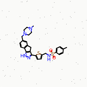 Cc1ccc(S(=O)(=O)NCc2ccc(-c3n[nH]c4c3Cc3cc(CN5CCN(C)CC5)ccc3-4)s2)cc1